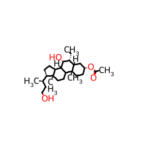 CC[C@H]1[C@@H](O)[C@H]2C3CC[C@H]([C@H](C)CCO)[C@@]3(C)CCC2[C@@]2(C)CC[C@@H](OC(C)=O)C[C@@H]12